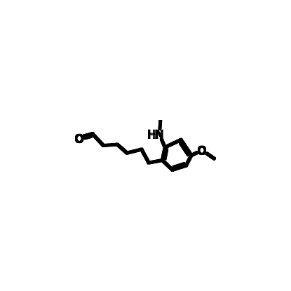 CNc1cc(OC)ccc1CCCCCC=O